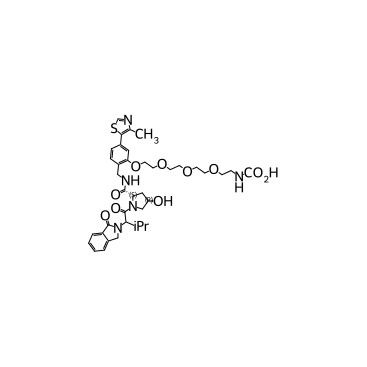 Cc1ncsc1-c1ccc(CNC(=O)[C@@H]2C[C@@H](O)CN2C(=O)C(C(C)C)N2Cc3ccccc3C2=O)c(OCCOCCOCCOCCNC(=O)O)c1